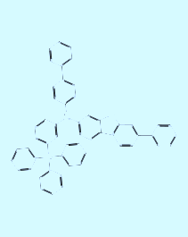 c1ccc(-c2ccc(N(c3cccc([Si](c4ccccc4)(c4ccccc4)c4ccccc4)c3)c3ccc4c(c3)oc3cc(-c5ccccc5)ccc34)cc2)cc1